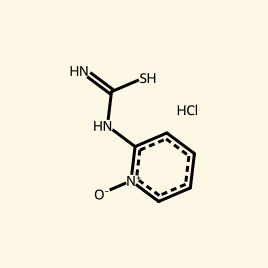 Cl.N=C(S)Nc1cccc[n+]1[O-]